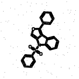 O=S(=O)(c1ccccc1)n1c2ccccc2c2c(-c3ccccc3)occ21